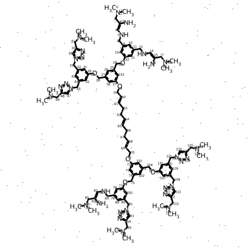 CN(C)C/C(N)=C/NCc1cc(CN/C=C(\N)CN(C)C)cc(OCc2cc(COc3cc(Cn4cc(CN(C)C)nn4)cc(Cn4cc(CN(C)C)nn4)c3)cc(OCC=CCCC=CCCC=CCOc3cc(COc4cc(CN/C=C(\N)CN(C)C)cc(Cn5cc(CN(C)C)nn5)c4)cc(COc4cc(Cn5cc(CN(C)C)nn5)cc(Cn5cc(CN(C)C)nn5)c4)c3)c2)c1